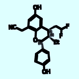 CC[C@H]1[C@@H](CC(F)F)c2cc(O)cc(CC#N)c2O[C@H]1c1ccc(O)cc1